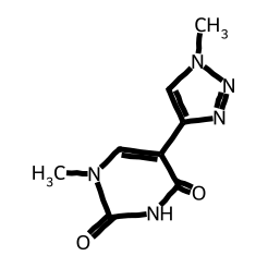 Cn1cc(-c2cn(C)c(=O)[nH]c2=O)nn1